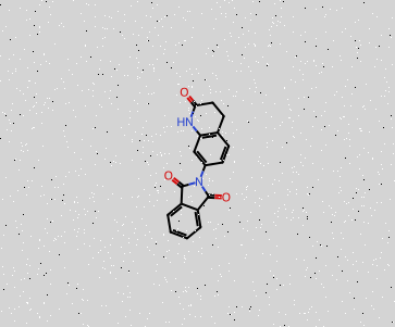 O=C1CCc2ccc(N3C(=O)c4ccccc4C3=O)cc2N1